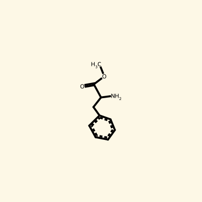 COC(=O)C(N)Cc1ccccc1